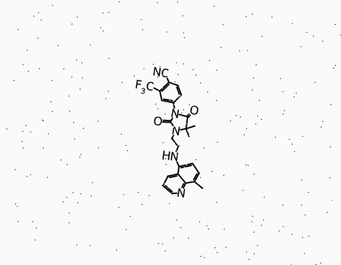 Cc1ccc(NCCN2C(=O)N(c3ccc(C#N)c(C(F)(F)F)c3)C(=O)C2(C)C)c2cccnc12